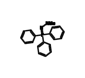 CNN=P(c1ccccc1)(c1ccccc1)c1ccccc1